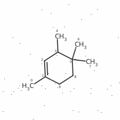 CC1=CC(C)C(C)(C)CC1